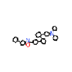 c1ccc(-c2ccc3oc(-c4ccc(-c5ccccc5-c5ccccc5-c5ccc(N(c6ccccc6)c6ccccc6)cc5)cc4)nc3c2)cc1